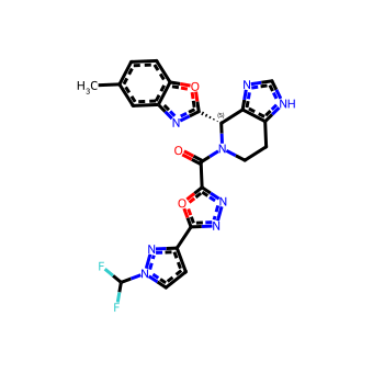 Cc1ccc2oc([C@@H]3c4nc[nH]c4CCN3C(=O)c3nnc(-c4ccn(C(F)F)n4)o3)nc2c1